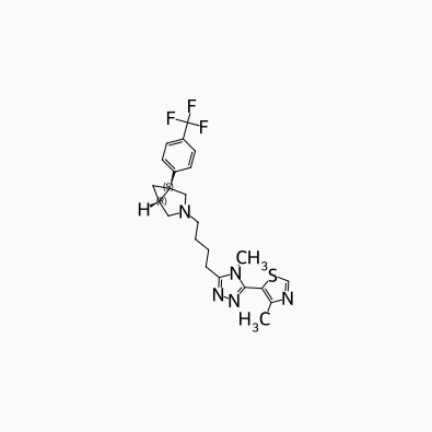 Cc1ncsc1-c1nnc(CCCCN2C[C@@H]3C[C@]3(c3ccc(C(F)(F)F)cc3)C2)n1C